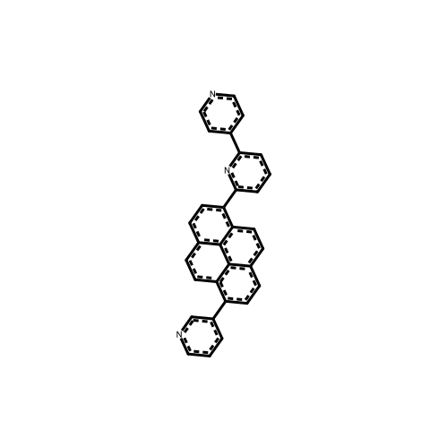 c1cncc(-c2ccc3ccc4c(-c5cccc(-c6ccncc6)n5)ccc5ccc2c3c54)c1